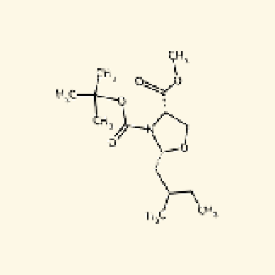 CCC(C)C[C@H]1OC[C@@H](C(=O)OC)N1C(=O)OC(C)(C)C